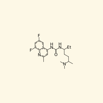 CCC(CCC(C)N(C)C)NC(=O)Nc1cc(C)nc2c(F)cc(F)cc12